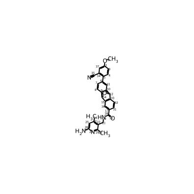 COc1ccc(-c2ccc3c(c2)c2oc3c3cc(C(=O)NCc4c(C)cc(N)nc4C)ccc32)c(C#N)c1